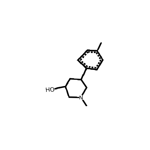 Cc1ccc(C2CC(O)CN(C)C2)cc1